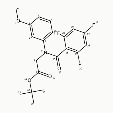 COc1cccc(N(CC(=O)OC(C)(C)C)C(=O)c2c(F)cc(F)cc2F)c1